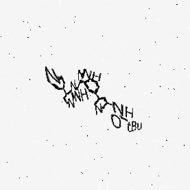 CC(C)(C)CC(=O)Nc1cncc(-c2ccc3[nH]nc(-c4nc5c(-c6ccncc6)ccnc5[nH]4)c3c2)c1